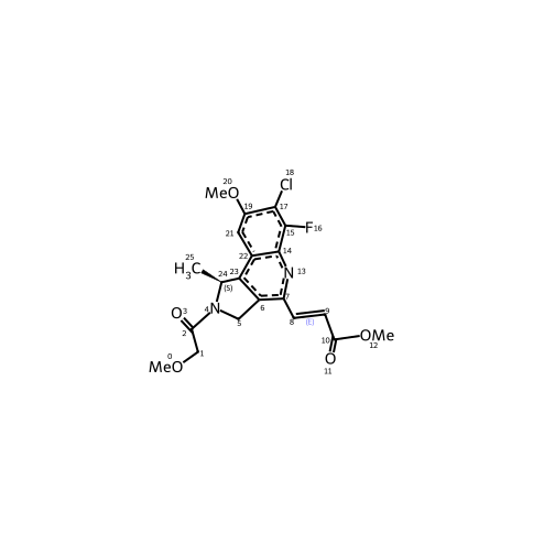 COCC(=O)N1Cc2c(/C=C/C(=O)OC)nc3c(F)c(Cl)c(OC)cc3c2[C@@H]1C